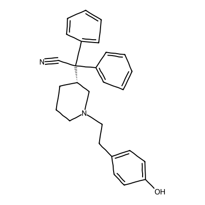 N#CC(c1ccccc1)(c1ccccc1)[C@H]1CCCN(CCc2ccc(O)cc2)C1